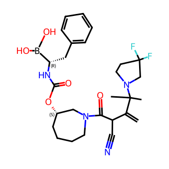 C=C(C(C#N)C(=O)N1CCCC[C@H](OC(=O)N[C@@H](Cc2ccccc2)B(O)O)C1)C(C)(C)N1CCC(F)(F)C1